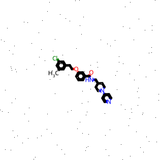 Cc1cc(Cl)cc(CCOc2cccc(C(=O)NCC3CCN(c4ccncc4)CC3)c2)c1